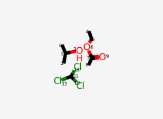 CC(C)O.CCOC(C)=O.ClC(Cl)Cl